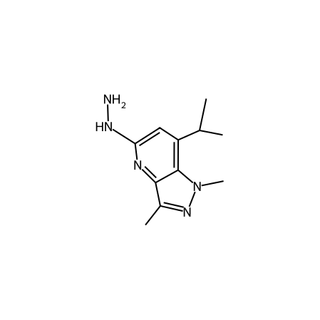 Cc1nn(C)c2c(C(C)C)cc(NN)nc12